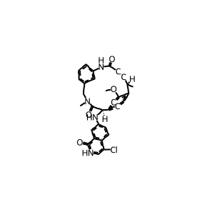 COc1cc2ccc1[C@@H](C)CCC(=O)Nc1cccc(c1)CN(C)C(=O)[C@@H]2Nc1ccc2c(Cl)c[nH]c(=O)c2c1